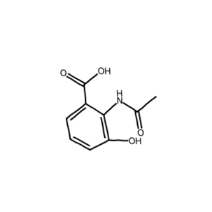 CC(=O)Nc1c(O)cccc1C(=O)O